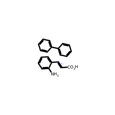 Nc1ccccc1/C=C/C(=O)O.c1ccc(-c2ccccc2)cc1